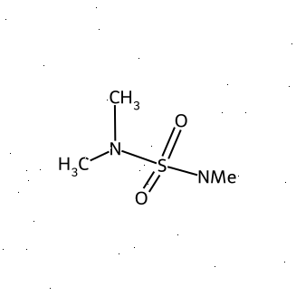 [CH2]NS(=O)(=O)N(C)C